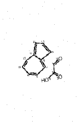 O=CC(=O)O.c1ccc2cccc-2cc1